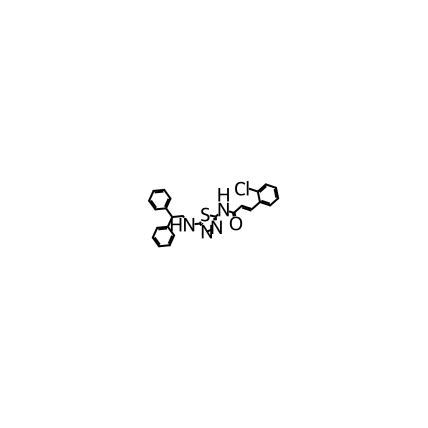 O=C(C=Cc1ccccc1Cl)Nc1nnc(NCC(c2ccccc2)c2ccccc2)s1